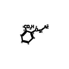 CC(=O)SOc1ccccc1C(=O)O